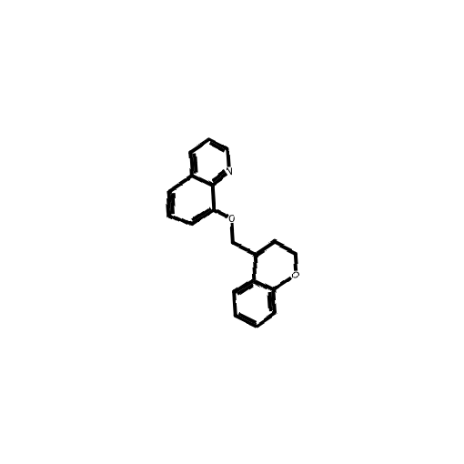 c1ccc2c(c1)OCCC2COc1cccc2cccnc12